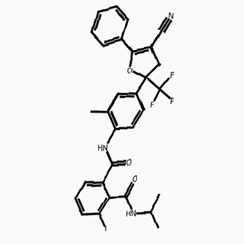 Cc1cc(C2(C(F)(F)F)CC(C#N)=C(c3ccccc3)O2)ccc1NC(=O)c1cccc(I)c1C(=O)NC(C)C